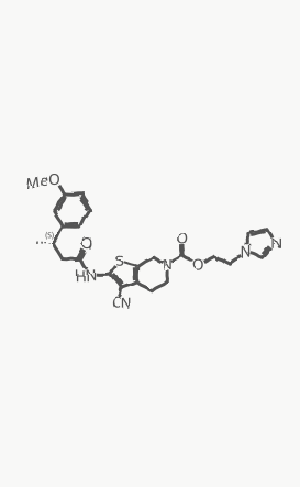 COc1cccc([C@@H](C)CC(=O)Nc2sc3c(c2C#N)CCN(C(=O)OCCn2ccnc2)C3)c1